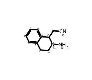 N#CCC1c2ccccc2CCN1N